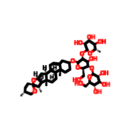 C[C@@H]1CC[C@@]2(OC1)O[C@H]1C[C@H]3[C@@H]4CC=C5C[C@@H](O[C@@H]6O[C@H](CO)[C@@H](O[C@@H]7O[C@H](CO)[C@@H](O)[C@H](O)[C@H]7O)[C@H](O)[C@H]6O[C@@H]6O[C@@H](C)[C@H](O)[C@@H](O)[C@H]6O)CC[C@]5(C)[C@H]4CC[C@]3(C)[C@H]1[C@@H]2C